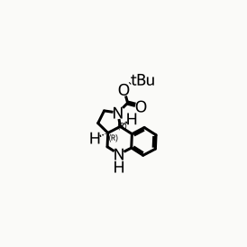 CC(C)(C)OC(=O)N1CC[C@@H]2CNc3ccccc3[C@@H]21